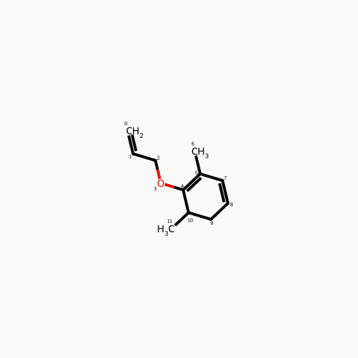 C=CCOC1=C(C)C=CCC1C